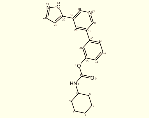 O=C(NC1CCCCC1)Oc1cccc(-c2cncc(-c3ccno3)c2)c1